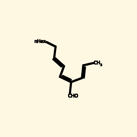 CC=CC(C=O)=CC=CCCCCCCC